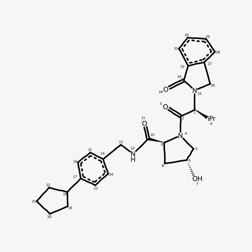 CC(C)[C@@H](C(=O)N1C[C@H](O)C[C@H]1C(=O)NCc1ccc(C2CCCC2)cc1)N1Cc2ccccc2C1=O